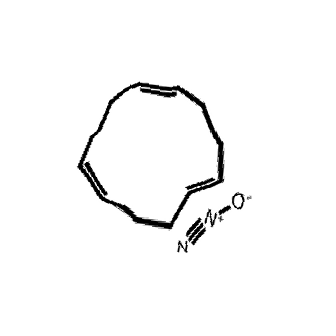 C1=CCC/C=C/CCC=CCC1.N#[N+][O-]